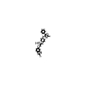 CC1=N[C@@H](CN2CCN(C[C@@H](O)COc3ccc4sc(C)nc4c3)CC2)[C@H](c2ccccc2)O1